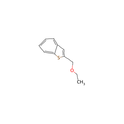 CCOCc1cc2ccccc2s1